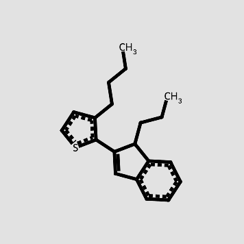 CCCCc1ccsc1C1=Cc2ccccc2[C]1CCC